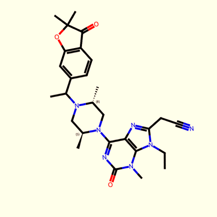 CCn1c(CC#N)nc2c(N3C[C@@H](C)N(C(C)c4ccc5c(c4)OC(C)(C)C5=O)C[C@@H]3C)nc(=O)n(C)c21